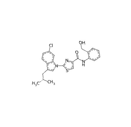 CC(C)Cc1cn(-c2nc(C(=O)Nc3ccccc3CO)cs2)c2cc(Cl)ccc12